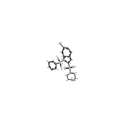 O=S(=O)(c1cc2ccc(Cl)cc2n1S(=O)(=O)c1ccccc1)N1CCNCC1